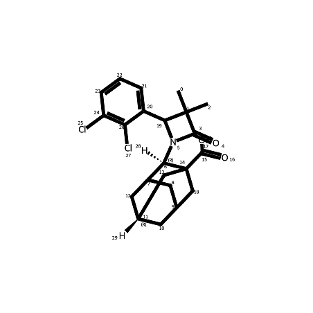 CC1(C)C(=O)N([C@@H]2C3CC4C[C@H](C3)CC2(C(=O)O)C4)C1c1cccc(Cl)c1Cl